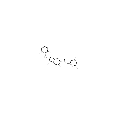 Cc1cc(C)nc(NC(=O)c2cc3nc(Nc4c(Cl)cccc4Cl)n(C)c3cc2F)c1